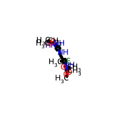 CCOC(=O)CN(C(=O)Nc1cc(C)c(C#CCNc2ccc(C(=N)NC(=O)OC(C)(C)C)cc2)cc1F)C(C)C